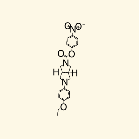 CCOc1ccc(N2C[C@H]3CN(C(=O)Oc4ccc([N+](=O)[O-])cc4)C[C@H]3C2)cc1